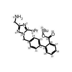 CCCc1nc(CN)nn1Cc1ccc(-c2ccccc2C(=O)OC(C)(C)C)cc1